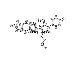 COCCn1nc(-c2ccc(C)cc2)c(O)c1-c1nc2cc3c(cc2[nH]1)CNC3